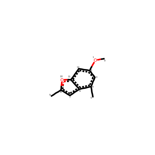 COc1cc(C)c2cc(C)oc2c1